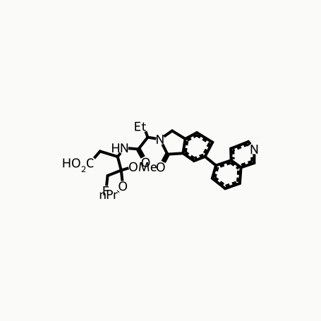 CCCOC(CF)(OC)C(CC(=O)O)NC(=O)C(CC)N1Cc2ccc(-c3cccc4cnccc34)cc2C1=O